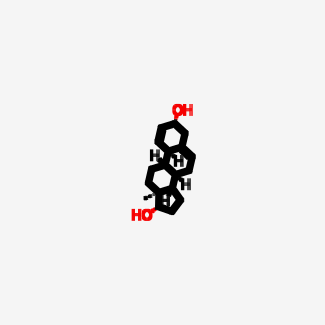 C[C@]12CC[C@H]3[C@@H](CC=C4C[C@@H](O)C=C[C@@H]43)[C@@H]1CC[C@@H]2O